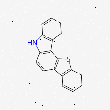 C1=Cc2c(sc3c2ccc2[nH]c4c(c23)CCC=C4)CC1